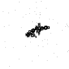 C[C@@H](Cn1cnnn1)Oc1cc(-c2cnc(Nc3cn(C4CCC(=O)CC4)nc3OCC(F)F)nc2)ccc1Cl